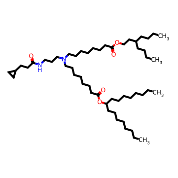 CCCCCCCCC(CCCCCCCC)OC(=O)CCCCCCCN(CCCCCCCC(=O)OCCC(CCCC)CCCC)CCCNC(=O)CCC1CC1